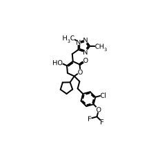 Cc1nc(CC2=C(O)CC(CCc3ccc(OC(F)F)c(Cl)c3)(C3CCCC3)OC2=O)n(C)n1